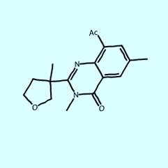 CC(=O)c1cc(C)cc2c(=O)n(C)c(C3(C)CCOC3)nc12